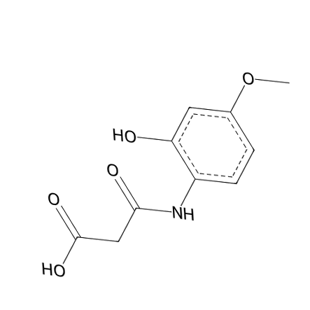 COc1ccc(NC(=O)CC(=O)O)c(O)c1